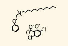 CCCCCCCCCCCC[N+](C)(C)CCOc1ccccc1.COc1c(Cl)ccc(Cl)c1C(=O)[O-]